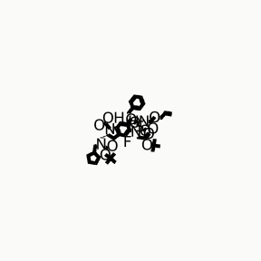 C=CCOC(=O)NS(=O)(=O)N(CC(=O)OC(C)(C)C)c1c(OCc2ccccc2)cc2c(c1F)C[C@H](CN(CC1CCCC1)C(=O)OC(C)(C)C)N2C(=O)O